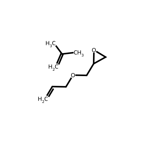 C=C(C)C.C=CCOCC1CO1